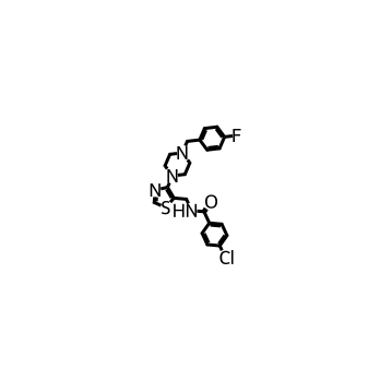 O=C(NCc1scnc1N1CCN(Cc2ccc(F)cc2)CC1)c1ccc(Cl)cc1